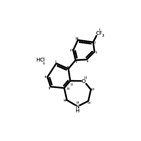 Cl.FC(F)(F)c1ccc(-c2cccc3c2OCCNC3)cc1